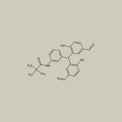 CC(C)(C)C(=O)Nc1cccc(C(c2cc(C=O)ccc2O)c2cc(C=O)ccc2O)c1